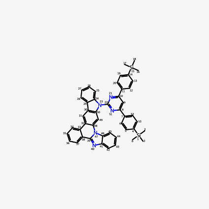 C[Si](C)(C)c1ccc(-c2cc(-c3ccc([Si](C)(C)C)cc3)nc(-n3c4ccccc4c4cc5c6ccccc6c6nc7ccccc7n6c5cc43)n2)cc1